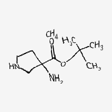 C.CC(C)(C)OC(=O)C1(N)CCNC1